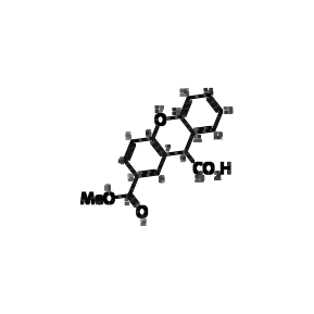 COC(=O)c1ccc2c(c1)C(C(=O)O)c1ccccc1O2